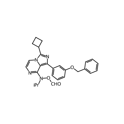 CC(C)N(OC=O)c1nccn2c(C3CCC3)nc(-c3cccc(OCc4ccccc4)c3)c12